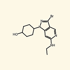 CCNc1cc2c(cn1)c(Br)nn2C1CCC(O)CC1